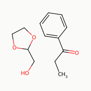 CCC(=O)c1ccccc1.OCC1OCCO1